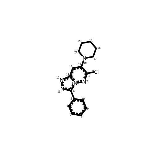 Clc1nn2c(-c3ccccc3)nnc2cc1N1CCCCC1